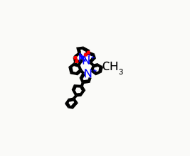 Cc1ccc2c(c1)-c1cccc[n+]1C1(c3ccccc3-c3cc(-c4ccc(-c5ccccc5)cc4)cc[n+]3-2)c2ccccc2-c2cccc[n+]21